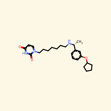 C[C@@H](NCCCCCCCn1ccc(=O)[nH]c1=O)c1cccc(OC2CCCC2)c1